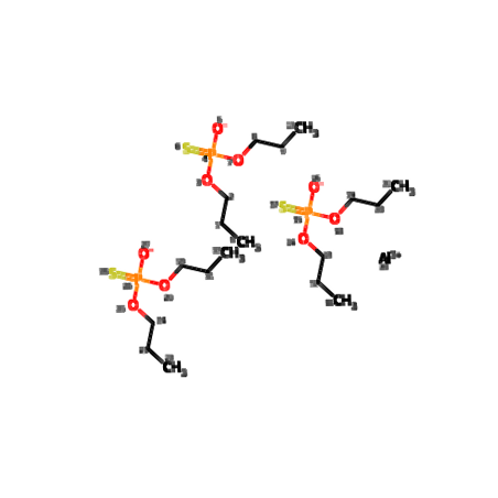 CCCOP([O-])(=S)OCCC.CCCOP([O-])(=S)OCCC.CCCOP([O-])(=S)OCCC.[Al+3]